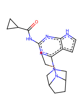 CCSN1C2CCC1CN(c1nc(NC(=O)C3CC3)nc3[nH]ccc13)C2